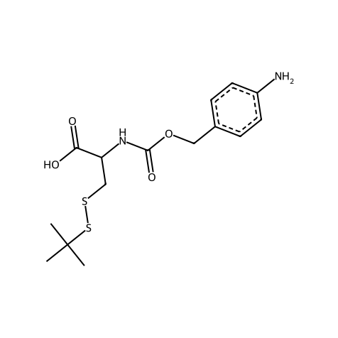 CC(C)(C)SSCC(NC(=O)OCc1ccc(N)cc1)C(=O)O